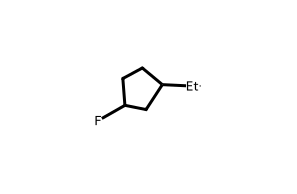 C[CH]C1CCC(F)C1